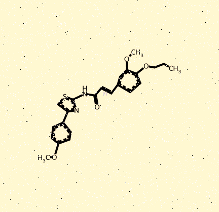 CCCOc1ccc(/C=C/C(=O)Nc2nc(-c3ccc(OC)cc3)cs2)cc1OC